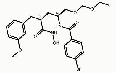 CCOCOC[C@H](C[C@H](Cc1cccc(OC)c1)C(=O)NO)NC(=O)c1ccc(Br)cc1